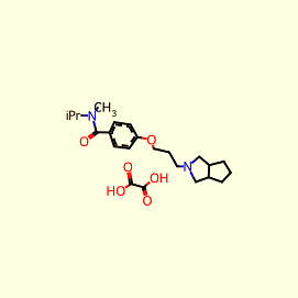 CC(C)N(C)C(=O)c1ccc(OCCCN2CC3CCCC3C2)cc1.O=C(O)C(=O)O